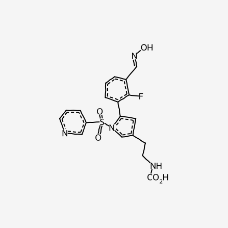 O=C(O)NCCc1cc(-c2cccc(C=NO)c2F)n(S(=O)(=O)c2cccnc2)c1